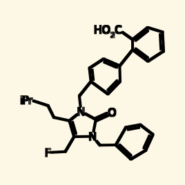 CC(C)CCc1c(CF)n(Cc2ccccc2)c(=O)n1Cc1ccc(-c2ccccc2C(=O)O)cc1